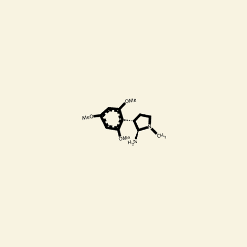 COc1cc(OC)c([C@@H]2CCN(C)[C@H]2N)c(OC)c1